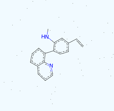 C=Cc1ccc(-c2cccc3cccnc23)c(NC)c1